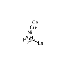 [AlH3].[Ce].[Cu].[Ni].[SiH3][La]